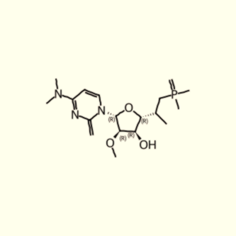 C=C1N=C(N(C)C)C=CN1[C@@H]1O[C@H](C(C)CP(=C)(C)C)[C@@H](O)[C@H]1OC